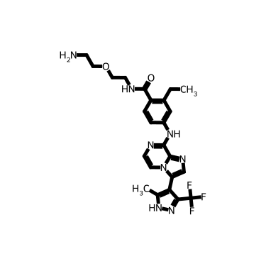 CCc1cc(Nc2nccn3c(-c4c(C(F)(F)F)n[nH]c4C)cnc23)ccc1C(=O)NCCOCCN